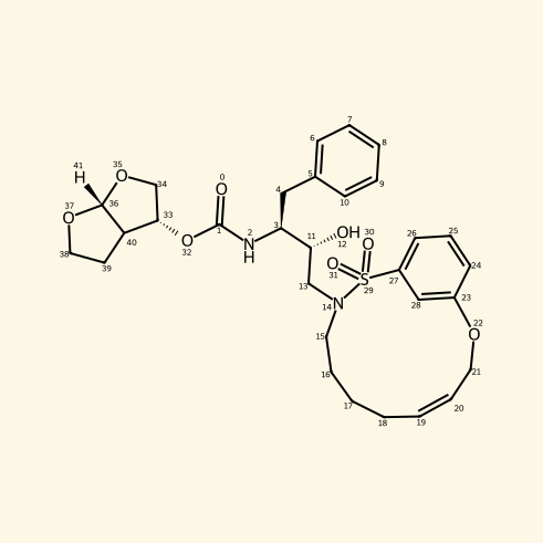 O=C(N[C@@H](Cc1ccccc1)[C@H](O)CN1CCCC/C=C\COc2cccc(c2)S1(=O)=O)O[C@H]1CO[C@H]2OCCC21